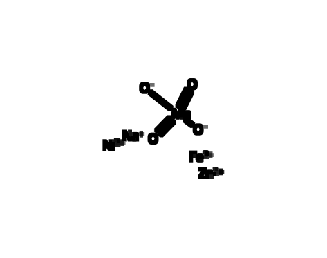 [Fe+2].[Na+].[Ni+2].[O]=[Mn](=[O])([O-])[O-].[Zn+2]